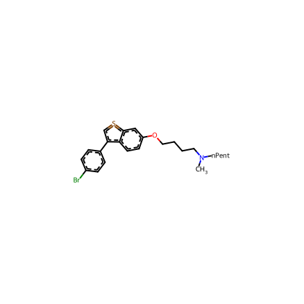 CCCCCN(C)CCCCOc1ccc2c(-c3ccc(Br)cc3)csc2c1